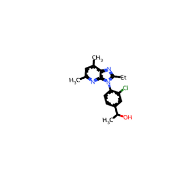 CCc1nc2c(C)cc(C)nc2n1-c1ccc(C(C)O)cc1Cl